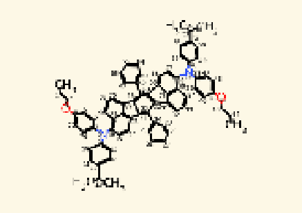 CCCOc1ccc(N(c2ccc(C(C)C)cc2)c2ccc3c4c(-c5ccccc5)c5c6cccc7c(N(c8ccc(OCCC)cc8)c8ccc(C(C)C)cc8)ccc(c5c(-c5ccccc5)c4c4cccc2c43)c76)cc1